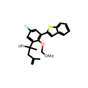 C=C(C)CC(C)(CCC)c1cc(F)cc(-c2cc3ccccc3s2)c1OCOC